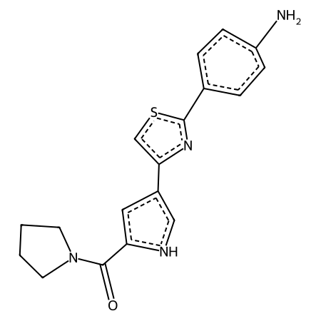 Nc1ccc(-c2nc(-c3c[nH]c(C(=O)N4CCCC4)c3)cs2)cc1